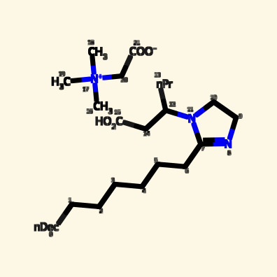 CCCCCCCCCCCCCCCCC1=NCCN1C(CCC)CC(=O)O.C[N+](C)(C)CC(=O)[O-]